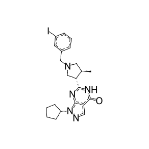 C[C@@H]1CN(Cc2cccc(I)c2)C[C@H]1c1nc2c(cnn2C2CCCC2)c(=O)[nH]1